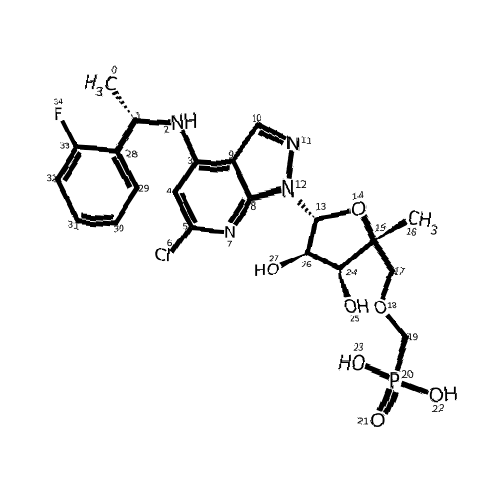 C[C@H](Nc1cc(Cl)nc2c1cnn2[C@@H]1O[C@](C)(COCP(=O)(O)O)[C@@H](O)[C@H]1O)c1ccccc1F